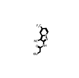 CC(C)(C)CC(=O)Nc1nn2ccc(C(F)(F)F)cc2c1C#N